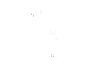 O=S(=O)(Nc1ccc2nsnc2c1)c1c[nH]c2c1ccc1ccccc12